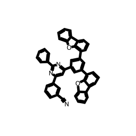 N#Cc1cccc(-c2cc(-c3cc(-c4cccc5c4oc4ccccc45)cc(-c4cccc5c4oc4ccccc45)c3)nc(-c3ccccc3)n2)c1